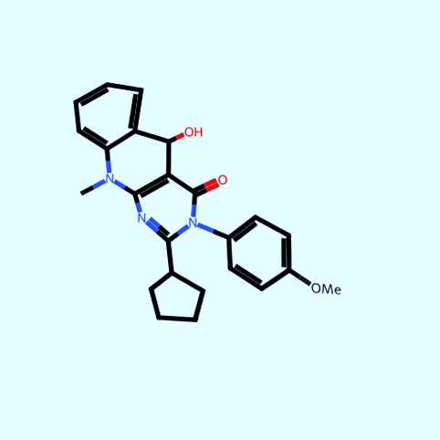 COc1ccc(-n2c(C3CCCC3)nc3c(c2=O)C(O)c2ccccc2N3C)cc1